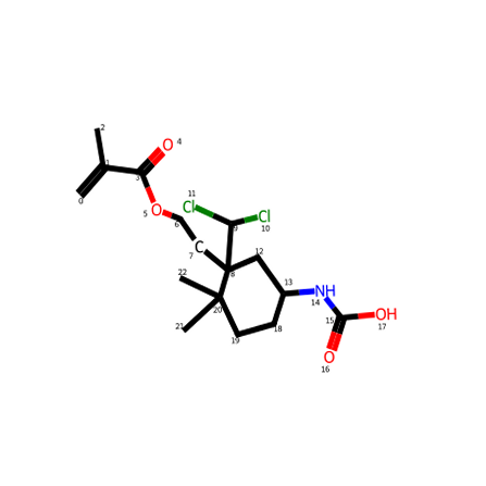 C=C(C)C(=O)OCCC1(C(Cl)Cl)CC(NC(=O)O)CCC1(C)C